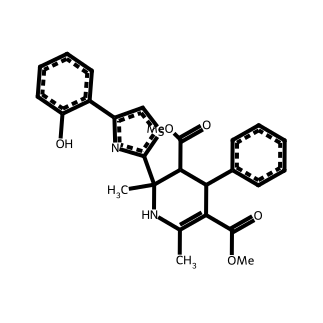 COC(=O)C1=C(C)NC(C)(c2nc(-c3ccccc3O)cs2)C(C(=O)OC)C1c1ccccc1